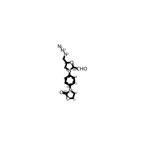 [N-]=[N+]=NCC1CN(c2ccc(N3CCOC3=O)cc2)C(C=O)O1